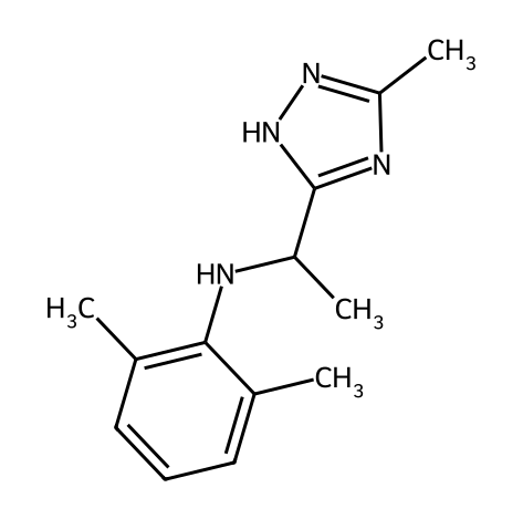 Cc1n[nH]c(C(C)Nc2c(C)cccc2C)n1